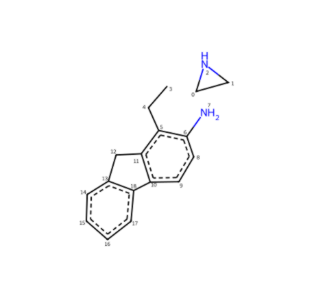 C1CN1.CCc1c(N)ccc2c1Cc1ccccc1-2